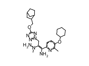 Cc1nc(/C(N)=C(\Cn2nnc(OCC3CC4CCC3C4)n2)N(C)N)ccc1OC1CCCCC1